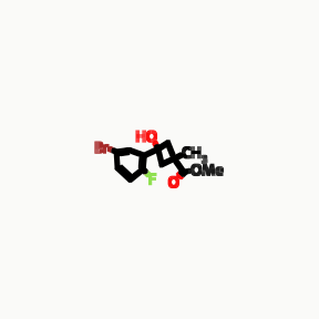 COC(=O)C1(C)CC(O)(c2cc(Br)ccc2F)C1